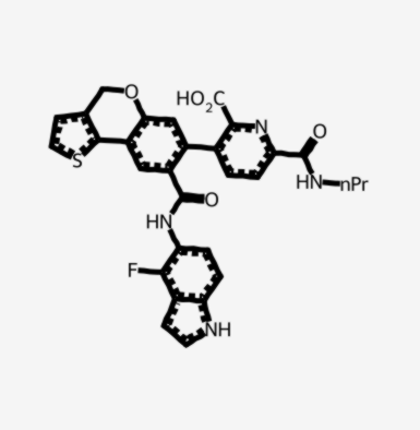 CCCNC(=O)c1ccc(-c2cc3c(cc2C(=O)Nc2ccc4[nH]ccc4c2F)-c2sccc2CO3)c(C(=O)O)n1